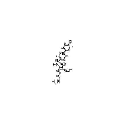 NCCCC[C@@H](NS(=O)(=O)N1CCN(c2ccc(Cl)cc2)CC1)C(=O)NO